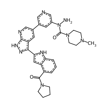 CN1CCN(C(=O)N(N)c2cncc(-c3cnc4[nH]nc(-c5cc6c(C(=O)N7CCCC7)cccc6[nH]5)c4c3)c2)CC1